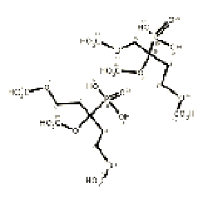 O=C(O)OCCC(CCOC(=O)O)(OC(=O)O)P(=O)(O)O.O=C(O)OCCC(COC(=O)O)(OC(=O)O)P(=O)(O)O